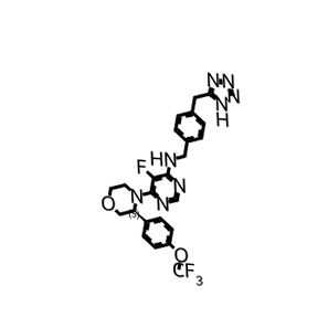 Fc1c(NCc2ccc(Cc3nnn[nH]3)cc2)ncnc1N1CCOC[C@@H]1c1ccc(OC(F)(F)F)cc1